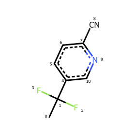 CC(F)(F)c1ccc(C#N)nc1